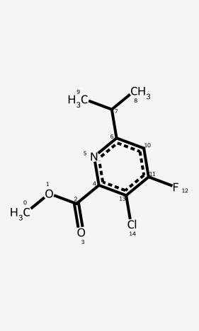 COC(=O)c1nc(C(C)C)cc(F)c1Cl